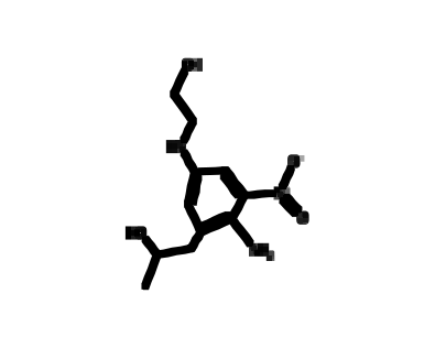 CC(O)Cc1cc(NCCO)cc([N+](=O)[O-])c1N